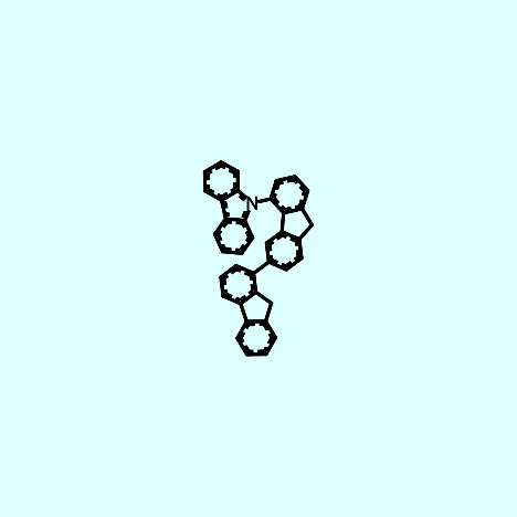 c1ccc2c(c1)Cc1c(-c3ccc4c(c3)-c3c(cccc3-n3c5ccccc5c5ccccc53)C4)cccc1-2